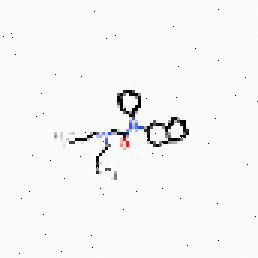 CCCN(CCC)CC(=O)N(c1ccccc1)C1CCc2ccccc2C1